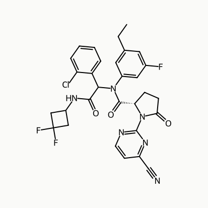 CCc1cc(F)cc(N(C(=O)[C@@H]2CCC(=O)N2c2nccc(C#N)n2)C(C(=O)NC2CC(F)(F)C2)c2ccccc2Cl)c1